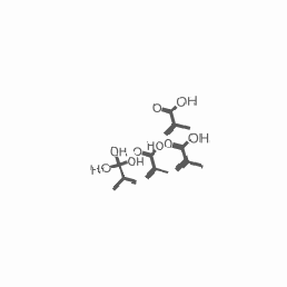 C=C(C)C(=O)O.C=C(C)C(=O)O.C=C(C)C(=O)O.CC(C)C(O)(O)O